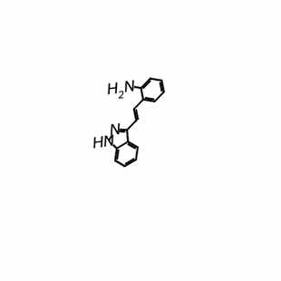 Nc1ccccc1C=Cc1n[nH]c2ccccc12